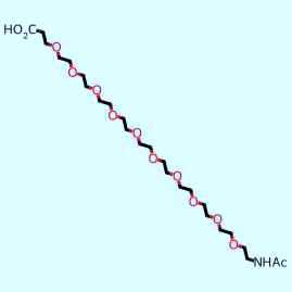 CC(=O)NCCOCCOCCOCCOCCOCCOCCOCCOCCOCCOCCC(=O)O